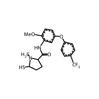 COc1ccc(Oc2ccc(C(F)(F)F)cc2)cc1NC(=O)C1CCC(S)N1C